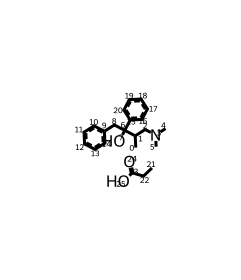 CC(CN(C)C)C(O)(Cc1ccccc1)c1ccccc1.CCC(=O)O